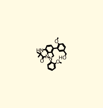 COc1ccc(CO)cc1-c1ccc2c3c1CN(c1ccccc1OC)N3C(=O)C(C)(C)N2